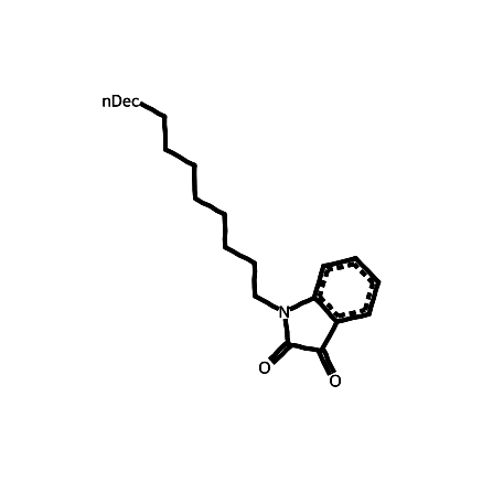 CCCCCCCCCCCCCCCCCCN1C(=O)C(=O)c2ccccc21